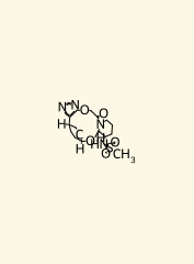 CS(=O)(=O)N[C@H]1CCCN2C(=O)COc3ncncc3[C@H]3CC[C@H](CC3)OC[C@@H]12